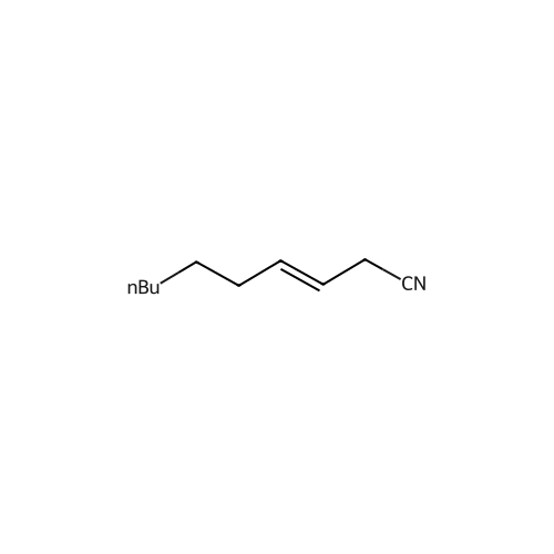 CCCCCCC=CCC#N